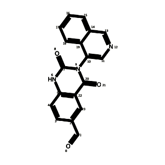 O=Cc1ccc2[nH]c(=O)n(-c3cncc4ccccc34)c(=O)c2c1